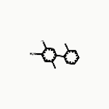 Cc1ccccc1-c1cc(Cl)c(N)cc1C